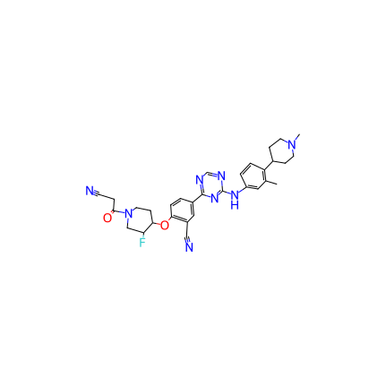 Cc1cc(Nc2ncnc(-c3ccc(OC4CCN(C(=O)CC#N)CC4F)c(C#N)c3)n2)ccc1C1CCN(C)CC1